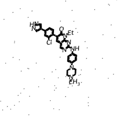 CCn1c(=O)c(-c2ccc(-c3cn[nH]c3)cc2Cl)cc2cnc(Nc3ccc(N4CCN(C)CC4)cc3)nc21